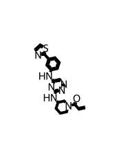 C=CC(=O)N1CCCC(Nc2nncc(Nc3cccc(-c4nccs4)c3)n2)C1